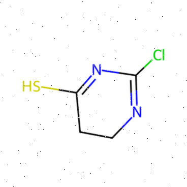 SC1=NC(Cl)=NCC1